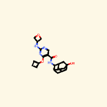 O=C(NC1C2CC3CC1CC(O)(C3)C2)c1cnc(NC2COC2)nc1OC1CCC1